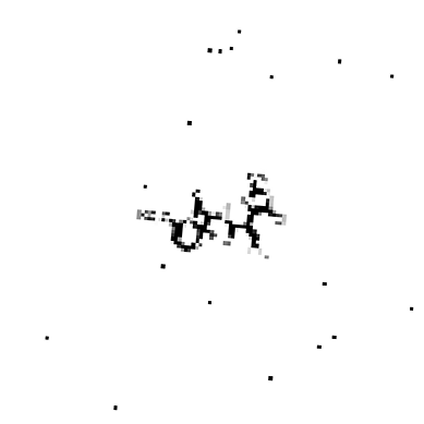 C/C=C(\C(=O)NC1C(=O)N2C(C(=O)O)=CCS[C@@H]12)c1nc(N)sc1Cl